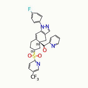 O=C(c1ccccn1)[C@]12Cc3cnn(-c4ccc(F)cc4)c3C=C1CC[C@H](S(=O)(=O)c1ccc(C(F)(F)F)cn1)C2